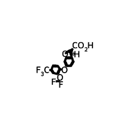 O=C(O)C1C2Oc3cc(Oc4ccc(C(F)(F)F)cc4OC(F)F)ccc3[C@@H]21